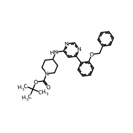 CC(C)(C)OC(=O)N1CCC(Nc2cc(-c3ccccc3OCc3ccccc3)ncn2)CC1